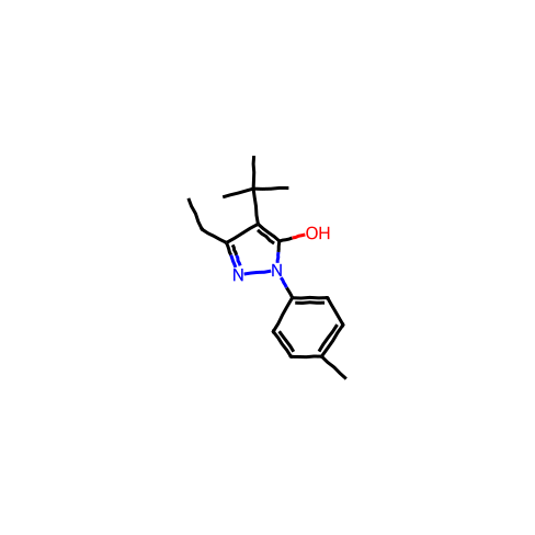 CCc1nn(-c2ccc(C)cc2)c(O)c1C(C)(C)C